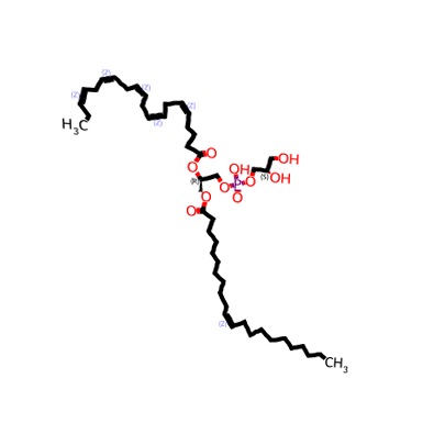 CC/C=C\C/C=C\C/C=C\C/C=C\C/C=C\CCCC(=O)O[C@H](COC(=O)CCCCCCCCC/C=C\CCCCCCCCCC)COP(=O)(O)OC[C@@H](O)CO